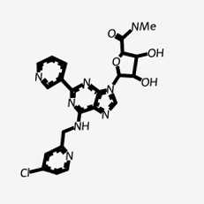 CNC(=O)C1OC(n2cnc3c(NCc4cc(Cl)ccn4)nc(-c4cccnc4)nc32)C(O)C1O